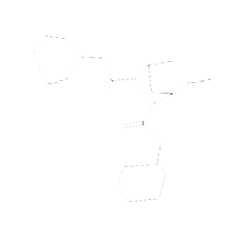 CC1CC2CC1C(C(=O)OC1CCCCC1)C2C(=O)CC1CCCCC1